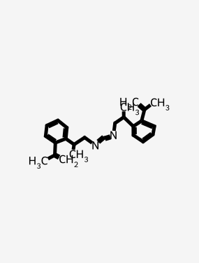 C=C(C)c1ccccc1C(C)CN=C=NCC(C)c1ccccc1C(=C)C